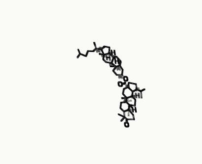 CC(C)CCC[C@@H](C)[C@H]1CC[C@H]2[C@@H]3CC=C4C[C@H](OC(=O)[C@]56CC[C@@H](C(C)C)C5[C@H]5CC[C@@H]7[C@@]8(C)CCC(=O)C(C)(C)C8CC[C@@]7(C)[C@]5(C)CC6)CC[C@]4(C)[C@H]3CC[C@]12C